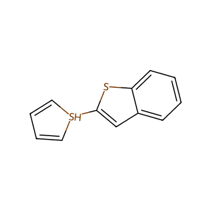 C1=C[SH](c2cc3ccccc3s2)C=C1